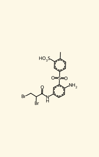 Cc1ccc(S(=O)(=O)c2cc(NC(=O)C(Br)CBr)ccc2N)cc1S(=O)(=O)O